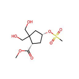 COC(=O)[C@H]1C[C@@H](OS(C)(=O)=O)CC1(CO)CO